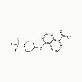 O=[N+]([O-])c1cccc2c(OC3CCC(C(F)(F)F)CC3)nccc12